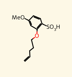 C=CCCCOc1cc(OC)ccc1S(=O)(=O)O